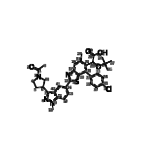 CC(=O)N1CCC(c2nn(C)c3ccc(-c4nc5cc(C)c(C(OC(C)(C)C)C(=O)O)c(-c6ccc(Cl)cc6)c5s4)cc23)C1